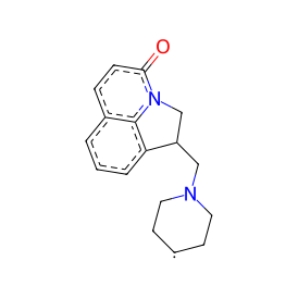 O=c1ccc2cccc3c2n1CC3CN1CC[CH]CC1